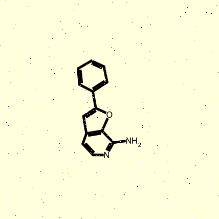 Nc1nccc2cc(-c3ccccc3)oc12